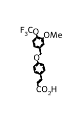 COc1cc(COc2ccc(C=CC(=O)O)cc2)ccc1OC(F)(F)F